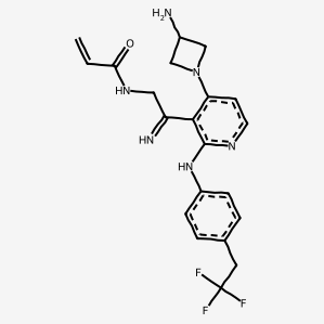 C=CC(=O)NCC(=N)c1c(N2CC(N)C2)ccnc1Nc1ccc(CC(F)(F)F)cc1